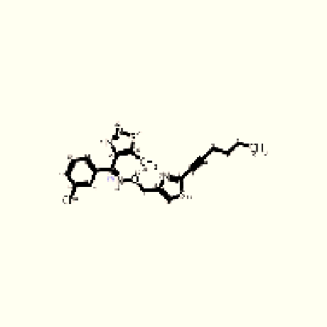 CCCCC#Cc1nc(CO/N=C(/c2cccc(Cl)c2)c2nnsc2C)cs1